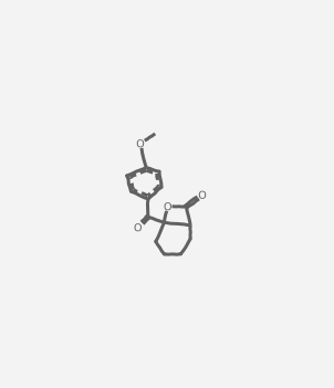 COc1ccc(C(=O)C23CCCCC2C(=O)O3)cc1